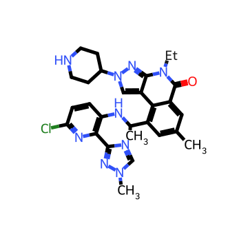 CCn1c(=O)c2cc(C)cc(C(C)Nc3ccc(Cl)nc3-c3ncn(C)n3)c2c2cn(C3CCNCC3)nc21